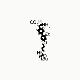 CCc1cc(OCCCCNC(=O)OC(C)(C)C)ccc1-c1ccc(C[C@H](N)C(=O)O)cc1